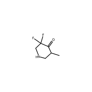 CC1CNCC(F)(F)C1=O